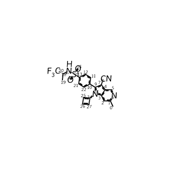 Cc1cc2c(cn1)c(C#N)c(-c1ccc(S(=O)(=O)N[C@H](C)C(F)(F)F)cc1)n2C1=CC=C1